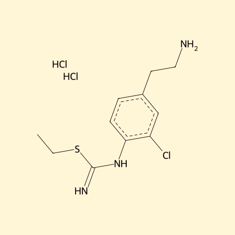 CCSC(=N)Nc1ccc(CCN)cc1Cl.Cl.Cl